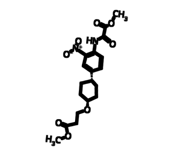 COC(=O)CCO[C@H]1CC[C@H](c2ccc(NC(=O)C(=O)OC)c([N+](=O)[O-])c2)CC1